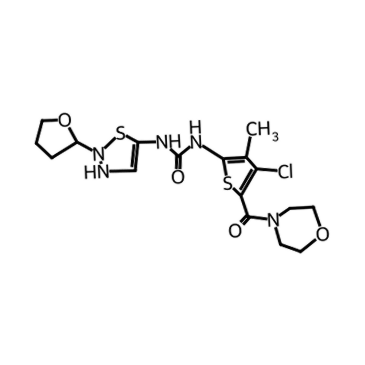 Cc1c(NC(=O)NC2=CNN(C3CCCO3)S2)sc(C(=O)N2CCOCC2)c1Cl